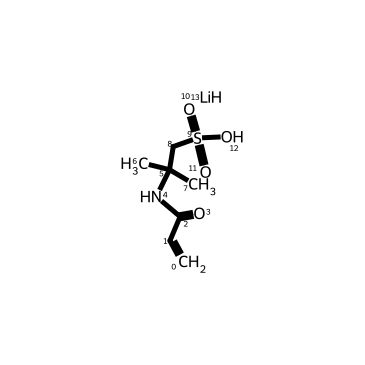 C=CC(=O)NC(C)(C)CS(=O)(=O)O.[LiH]